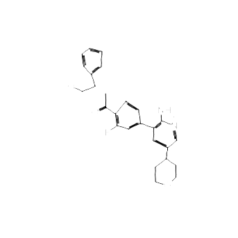 Nc1ncc(C2CCOCC2)cc1-c1ccc(C(=O)C[C@H](CO)c2ccccc2)c(F)c1